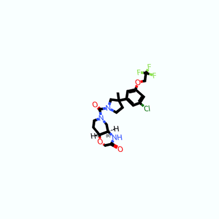 CC1(c2cc(Cl)cc(OCC(F)(F)F)c2)CCN(C(=O)N2CC[C@@H]3OCC(=O)N[C@@H]3C2)C1